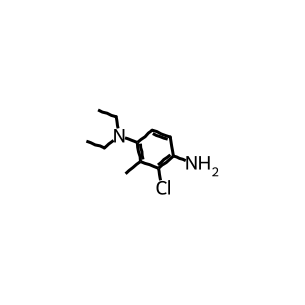 CCN(CC)c1ccc(N)c(Cl)c1C